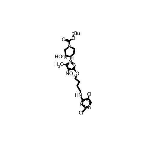 Cc1c([N+](=O)[O-])c(OCCCCNc2nc(Cl)ncc2Cl)nn1[C@@H]1CCN(C(=O)OC(C)(C)C)C[C@H]1O